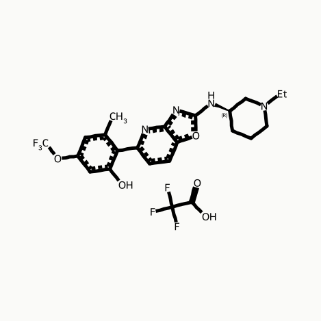 CCN1CCC[C@@H](Nc2nc3nc(-c4c(C)cc(OC(F)(F)F)cc4O)ccc3o2)C1.O=C(O)C(F)(F)F